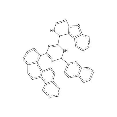 C1=Cc2oc3ccccc3c2C(C2=NC(c3cccc4ccc5c6ccccc6ccc5c34)=NC(c3ccc4ccccc4c3)N2)N1